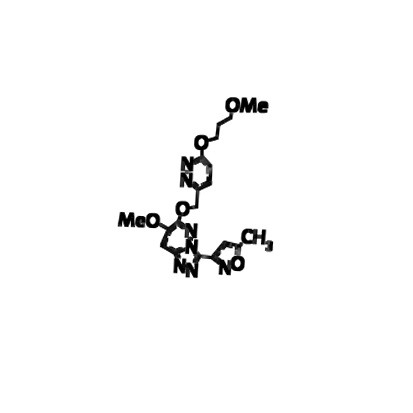 COCCCOc1ccc(COc2nn3c(-c4cc(C)on4)nnc3cc2OC)nn1